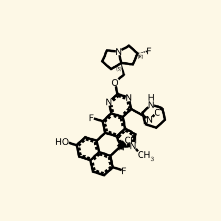 C#Cc1c(F)ccc2cc(O)cc(-c3c(F)c4nc(OC[C@@]56CCCN5C[C@H](F)C6)nc(N5CC6CCC5CN6)c4c4cn(C)nc34)c12